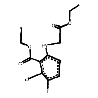 CCOC(=O)CNc1ccc(F)c(Cl)c1C(=O)OCC